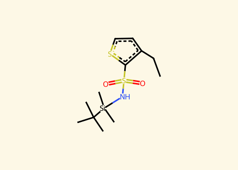 CCc1ccsc1S(=O)(=O)N[Si](C)(C)C(C)(C)C